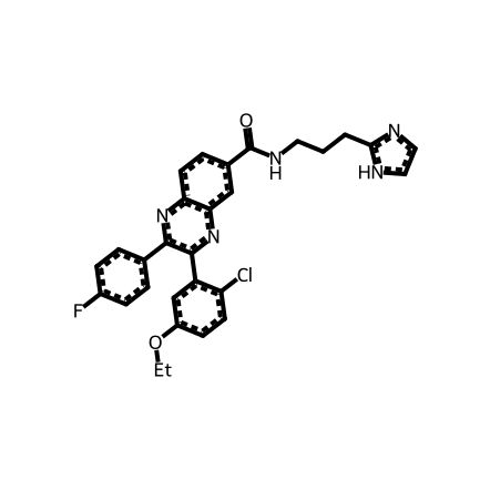 CCOc1ccc(Cl)c(-c2nc3cc(C(=O)NCCCc4ncc[nH]4)ccc3nc2-c2ccc(F)cc2)c1